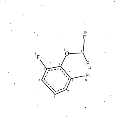 CC(C)c1cccc(F)c1OC(F)F